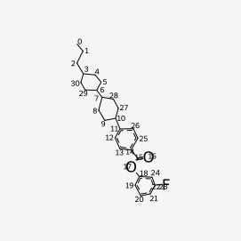 CCCC1CCC(C2CCC(c3ccc(C(=O)Oc4cccc(F)c4)cc3)CC2)CC1